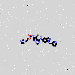 CCc1c(NC(=O)OCCn2ccnc2)cn2ncnc(Nc3ccc4c(cnn4Cc4cccnc4)c3)c12